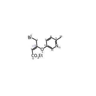 CCOC(=O)/C=C(/CBr)Oc1ccc(C)nc1